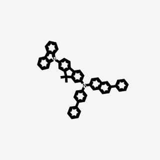 CC1(C)c2cc(N(c3ccc(-c4ccccc4)cc3)c3ccc4cc(-c5ccccc5)ccc4c3)ccc2-c2ccc(-n3c4ccccc4c4ccccc43)cc21